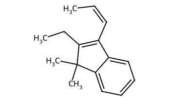 C/C=C\C1=C(CC)C(C)(C)c2ccccc21